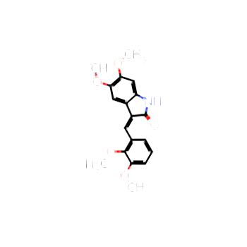 COc1cc2c(cc1OC)C(=Cc1cccc(OC)c1OC)C(=O)N2